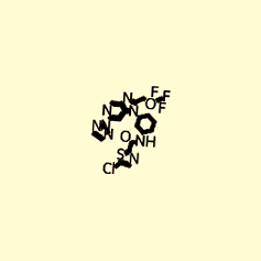 O=C(N[C@H]1CCC[C@@H](n2c(COC(F)(F)F)nc3cnc(-n4nccn4)cc32)C1)c1ncc(Cl)s1